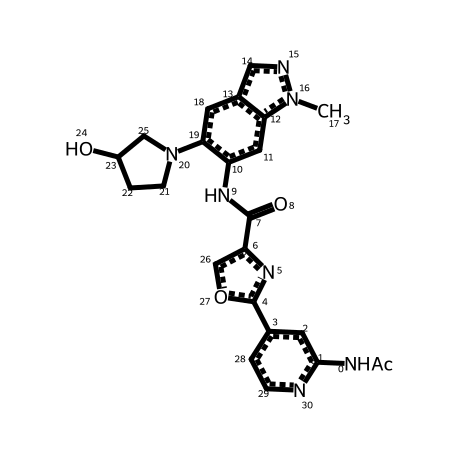 CC(=O)Nc1cc(-c2nc(C(=O)Nc3cc4c(cnn4C)cc3N3CCC(O)C3)co2)ccn1